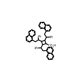 CC(C)C(Cc1cccc2ccccc12)C1C(C(=O)O)C(C(Cc2cccc3ccccc23)C(C)C)C1C(Cc1cccc2ccccc12)C(C)C